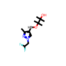 Cc1nn(CC(F)F)cc1BOC(C)(C)C(C)(C)O